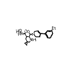 CCc1cccc(C2=CCN(C(=O)C3NCC4(CC4)CC3C(=O)NO)CC2)c1